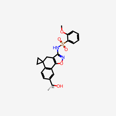 COc1ccccc1S(=O)(=O)Nc1noc2c1CC1(CC1)c1ccc([C@@H](C)O)cc1-2